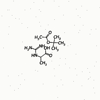 CC(=O)OC(C)(C)C.CC(NC(=N)N)C(=O)O